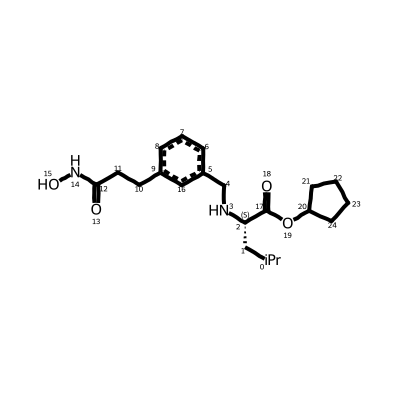 CC(C)C[C@H](NCc1cccc(CCC(=O)NO)c1)C(=O)OC1CCCC1